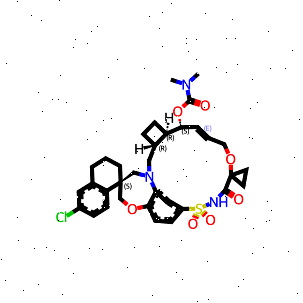 CN(C)C(=O)O[C@@H]1/C=C/COC2(CC2)C(=O)NS(=O)(=O)c2ccc3c(c2)N(C[C@@H]2CC[C@H]21)C[C@@]1(CCCc2cc(Cl)ccc21)CO3